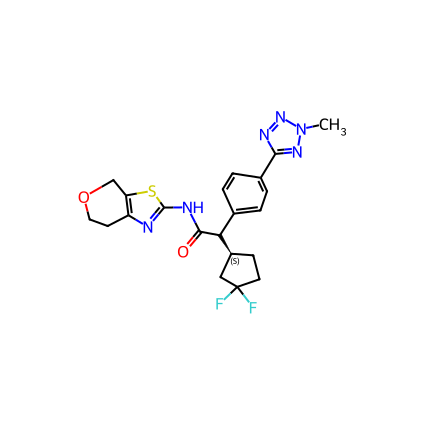 Cn1nnc(-c2ccc(C(C(=O)Nc3nc4c(s3)COCC4)[C@H]3CCC(F)(F)C3)cc2)n1